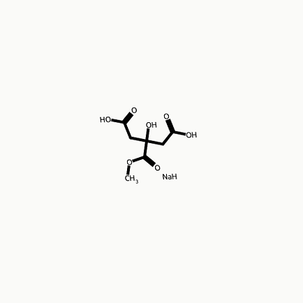 COC(=O)C(O)(CC(=O)O)CC(=O)O.[NaH]